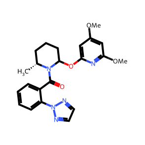 COc1cc(OC)nc(OC2CCC[C@@H](C)N2C(=O)c2ccccc2-n2nccn2)c1